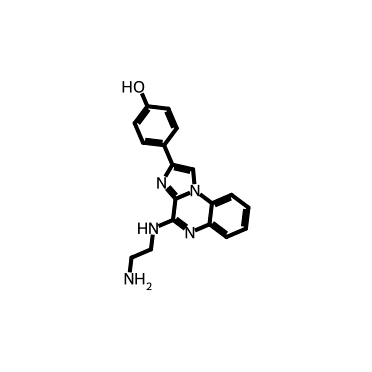 NCCNc1nc2ccccc2n2cc(-c3ccc(O)cc3)nc12